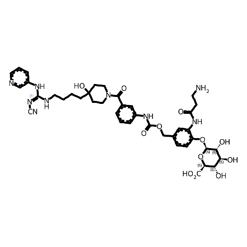 N#C/N=C(\NCCCCC1(O)CCN(C(=O)c2cccc(NC(=O)OCc3ccc(O[C@@H]4O[C@H](C(=O)O)[C@@H](O)[C@H](O)[C@H]4O)c(NC(=O)CCN)c3)c2)CC1)Nc1cccnc1